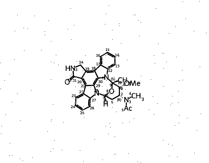 CO[C@@H]1[C@H](N(C)C(C)=O)C[C@H]2O[C@]1(C)n1c3ccccc3c3c4c(c5c6ccccc6n2c5c31)C(=O)NC4